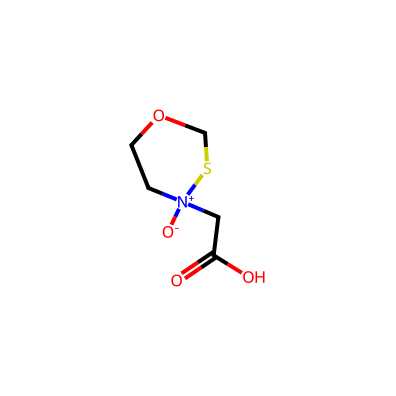 O=C(O)C[N+]1([O-])CCOCS1